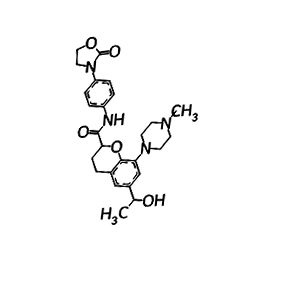 CC(O)c1cc2c(c(N3CCN(C)CC3)c1)OC(C(=O)Nc1ccc(N3CCOC3=O)cc1)CC2